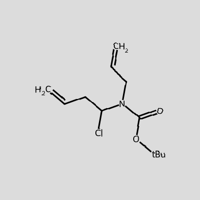 C=CCC(Cl)N(CC=C)C(=O)OC(C)(C)C